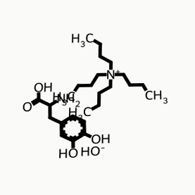 CCCC[N+](CCCC)(CCCC)CCCC.NC(Cc1ccc(O)c(O)c1)C(=O)O.[OH-]